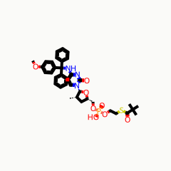 COc1ccc(C(Nc2ccn([C@@H]3O[C@H](COP(=O)(O)OCCSC(=O)C(C)(C)C)C[C@@H]3C)c(=O)n2)(c2ccccc2)c2ccccc2)cc1